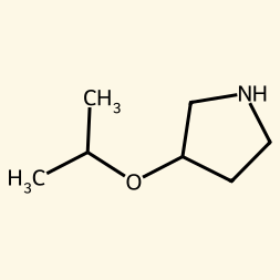 CC(C)OC1CCNC1